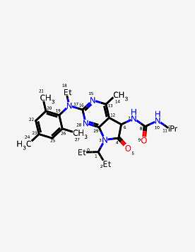 CCC(CC)N1C(=O)C(NC(=O)NC(C)C)c2c(C)nc(N(CC)c3c(C)cc(C)cc3C)nc21